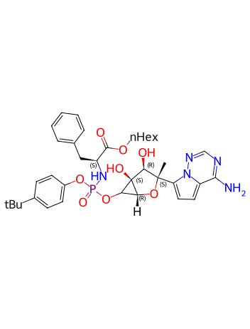 CCCCCCOC(=O)[C@H](Cc1ccccc1)NP(=O)(Oc1ccc(C(C)(C)C)cc1)OC1[C@H]2O[C@@](C)(c3ccc4c(N)ncnn34)[C@H](O)[C@@]12O